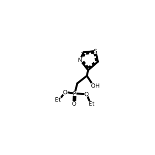 CCOP(=O)(CC(O)c1cs[c]n1)OCC